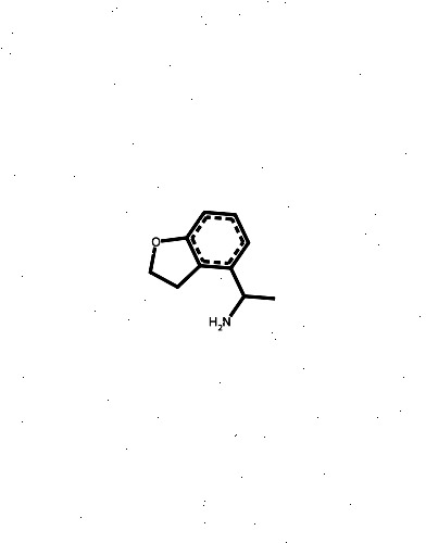 CC(N)c1cccc2c1CCO2